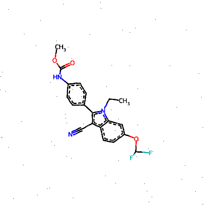 CCn1c(-c2ccc(NC(=O)OC)cc2)c(C#N)c2ccc(OC(F)F)cc21